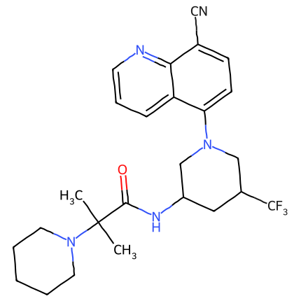 CC(C)(C(=O)NC1CC(C(F)(F)F)CN(c2ccc(C#N)c3ncccc23)C1)N1CCCCC1